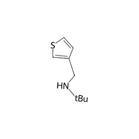 CC(C)(C)NCc1ccsc1